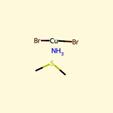 CSC.N.[Br][Cu][Br]